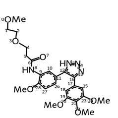 COCCOCCC(=O)Nc1cc(-c2[nH]nnc2-c2cc(OC)c(OC)c(OC)c2)ccc1OC